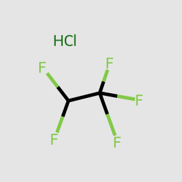 Cl.FC(F)C(F)(F)F